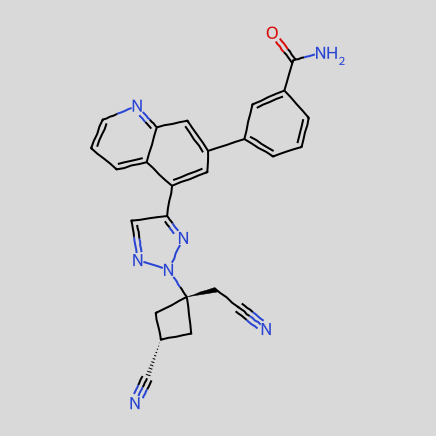 N#CC[C@]1(n2ncc(-c3cc(-c4cccc(C(N)=O)c4)cc4ncccc34)n2)C[C@@H](C#N)C1